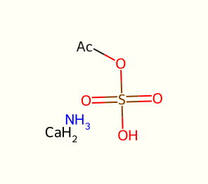 CC(=O)OS(=O)(=O)O.N.[CaH2]